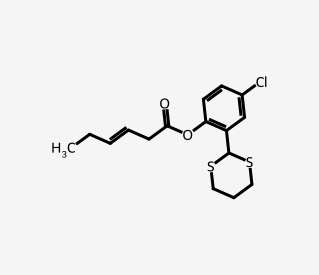 CC/C=C/CC(=O)Oc1ccc(Cl)cc1C1SCCCS1